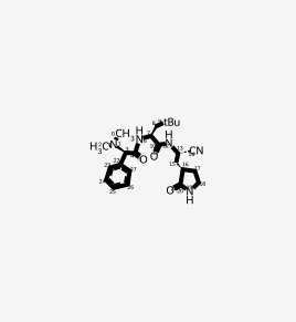 CN(C)[C@@H](C(=O)N[C@@H](CC(C)(C)C)C(=O)N[C@H](C#N)C[C@@H]1CCNC1=O)c1ccccc1